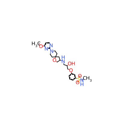 CNS(=O)(=O)c1cccc(OCC(O)CNC2COC3(CCN(c4nccc(OC)n4)CC3)C2)c1